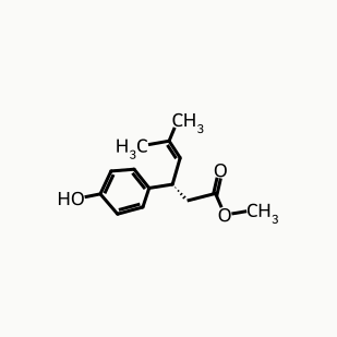 COC(=O)C[C@@H](C=C(C)C)c1ccc(O)cc1